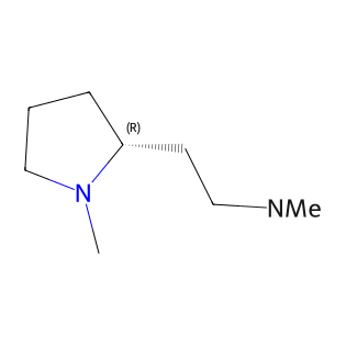 CNCC[C@H]1CCCN1C